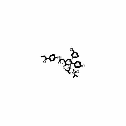 CCC(=O)c1ccc(NC(=O)C[C@@]2(C)C[C@H](c3cccc(Cl)c3)[C@@H](c3ccc(Cl)cc3)N([C@H](CS(=O)(=O)C(C)C)C(C)C)C2=O)cc1